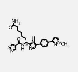 Cn1ccc(-c2ccc(-c3cnc([C@H](CCCCCC(N)=O)NC(=O)c4cnsc4)[nH]3)cc2)n1